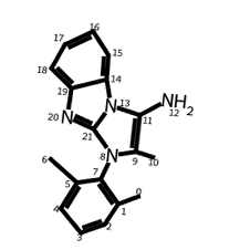 Cc1cccc(C)c1-n1c(C)c(N)n2c3ccccc3nc12